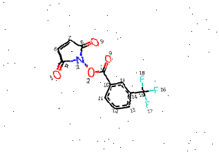 O=C(ON1C(=O)C=CC1=O)c1cccc(C(F)(F)F)c1